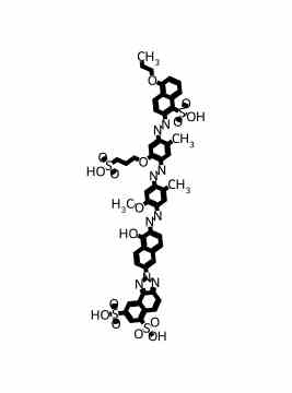 CCCOc1cccc2c(S(=O)(=O)O)c(N=Nc3cc(OCCCS(=O)(=O)O)c(N=Nc4cc(OC)c(N=Nc5ccc6cc(-n7nc8ccc9c(S(=O)(=O)O)cc(S(=O)(=O)O)cc9c8n7)ccc6c5O)cc4C)cc3C)ccc12